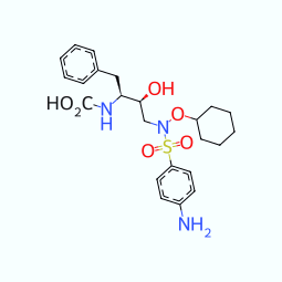 Nc1ccc(S(=O)(=O)N(C[C@H](O)[C@H](Cc2ccccc2)NC(=O)O)OC2CCCCC2)cc1